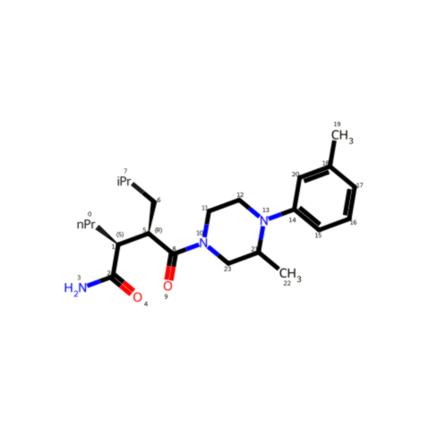 CCC[C@H](C(N)=O)[C@@H](CC(C)C)C(=O)N1CCN(c2cccc(C)c2)C(C)C1